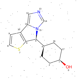 O[C@H]1CC[C@@H]([C@H]2c3sccc3-c3cncn32)CC1